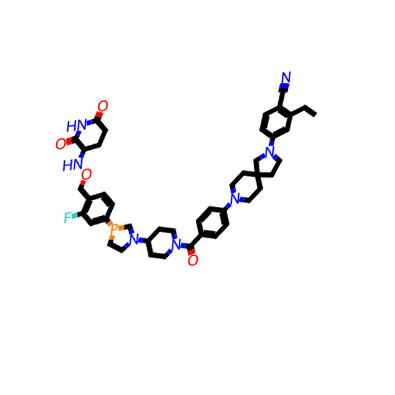 CCc1cc(N2CCC3(CCN(c4ccc(C(=O)N5CCC(N6CCP(c7ccc(CONC8CCC(=O)NC8=O)c(F)c7)C6)CC5)cc4)CC3)C2)ccc1C#N